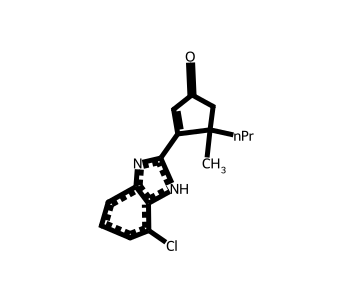 CCCC1(C)CC(=O)C=C1c1nc2cccc(Cl)c2[nH]1